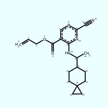 C=CCOC(=O)c1cnc(C#N)nc1NC(C)C1CCC2(CC1)CC2